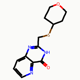 O=c1[nH]c(CSC2CCOCC2)nc2cccnc12